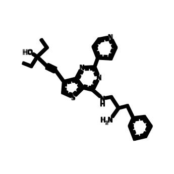 CCC(O)(C#Cc1csc2c(NCC(N)Cc3ccccc3)nc(-c3ccncc3)nc12)CC